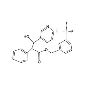 O=C(OCc1cccc(C(F)(F)F)c1)C(c1ccccc1)C(O)c1cccnc1